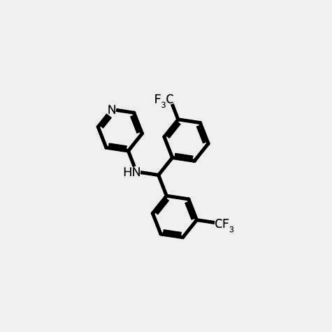 FC(F)(F)c1cccc(C(Nc2ccncc2)c2cccc(C(F)(F)F)c2)c1